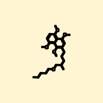 CCCCCOCC(C)CCCc1cc(OC)c2c(OC)ccc(OC)c2c1OC